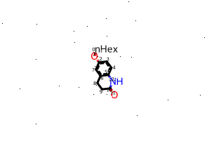 CCCCCCOc1ccc2c(c1)CCC(=O)N2